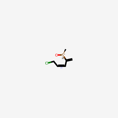 C=C(/C=C\CCl)[S@+](C)[O-]